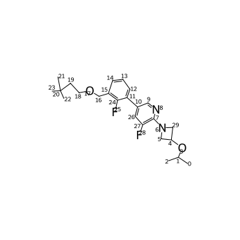 CC(C)OC1CN(c2ncc(-c3cccc(COCCC(C)(C)C)c3F)cc2F)C1